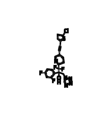 OC(Cn1cnnn1)(c1ccc(F)cc1F)C(F)(F)c1ccc(C#Cc2ccc(Cl)s2)cn1